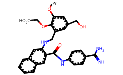 CC(C)Oc1cc(CO)cc(CNc2cc3ccccc3cc2C(=O)Nc2ccc(C(=N)N)cc2)c1OCC(=O)O